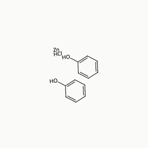 Cl.Oc1ccccc1.Oc1ccccc1.[Zn]